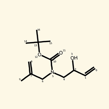 C=CC(O)CN(CC(=C)C)C(=O)OC(C)(C)C